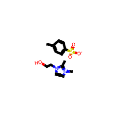 Cc1ccc(S(=O)(=O)[O-])cc1.Cc1n(CCO)cc[n+]1C